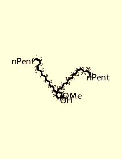 CCCCC/C=C\C/C=C\CCCCCCCCC1(CCCCCCCC/C=C\C/C=C\CCCCC)CCC(O)(OC)C1